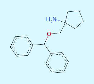 NC1(COC(c2ccccc2)c2ccccc2)CCCC1